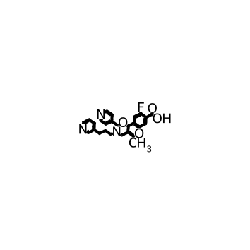 Cc1oc2cc(C(=O)O)c(F)cc2c(=O)c1CN(CCCc1cccnc1)Cc1ccncc1